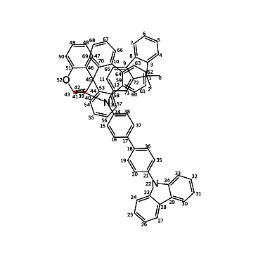 CC1(C)c2ccccc2-c2ccc(N(c3ccc(-c4ccc(-n5c6ccccc6c6ccccc65)cc4)cc3)c3cccc4c3C3(c5ccccc5O4)c4ccccc4-c4ccccc4-c4ccccc43)cc21